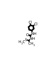 CSC(C)NC(=O)Nc1ccc(Cl)c(Cl)c1